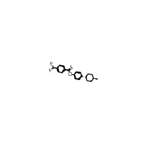 C[C@H]1CC[C@H](c2ccc(OC(=S)c3ccc(C(F)F)cc3)cc2)CC1